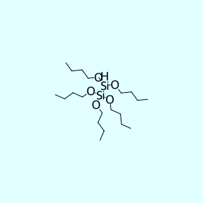 CCCCO[SiH](OCCCC)[Si](OCCCC)(OCCCC)OCCCC